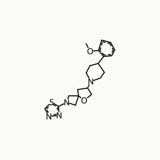 COc1ccccc1C1CCN(C2COC3(C2)CN(c2nncs2)C3)CC1